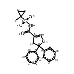 CC1(S(=O)(=O)NC(=O)C2=NOC(c3ccccc3)(c3ccccc3)C2)CC1